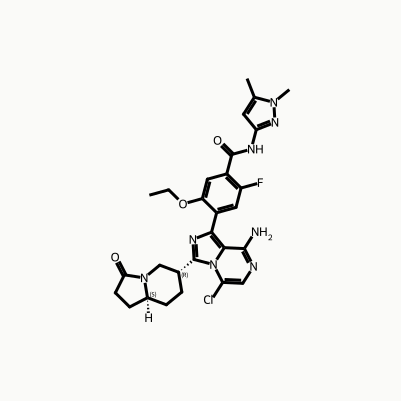 CCOc1cc(C(=O)Nc2cc(C)n(C)n2)c(F)cc1-c1nc([C@@H]2CC[C@H]3CCC(=O)N3C2)n2c(Cl)cnc(N)c12